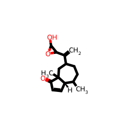 C=C(C1CCC(C)[C@@H]2C=CC(=O)C2(C)C1)C1OC1O